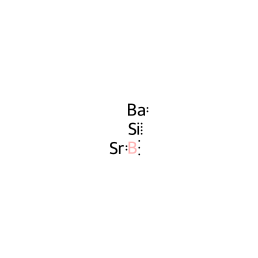 [B].[Ba].[Si].[Sr]